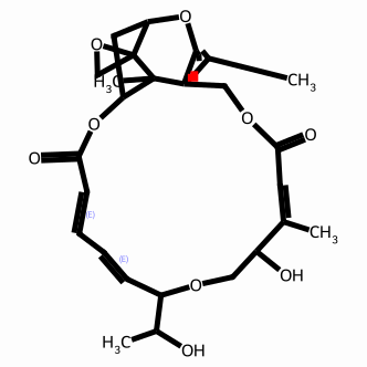 CC1=CC2OC3CC4OC(=O)/C=C/C=C/C(C(C)O)OCC(O)C(C)=CC(=O)OCC2(CC1)C4(C)C31CO1